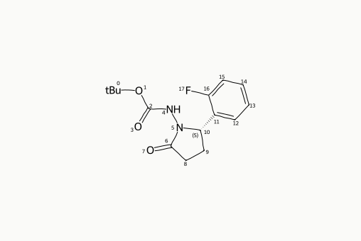 CC(C)(C)OC(=O)NN1C(=O)CC[C@H]1c1ccccc1F